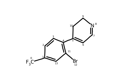 FC(F)(F)c1ccc(C2=CC=NCC2)c(Br)c1